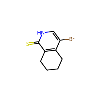 S=c1[nH]cc(Br)c2c1CCCC2